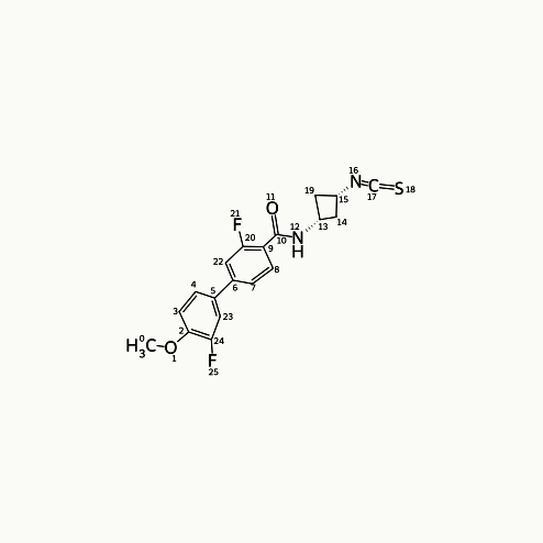 COc1ccc(-c2ccc(C(=O)N[C@H]3C[C@@H](N=C=S)C3)c(F)c2)cc1F